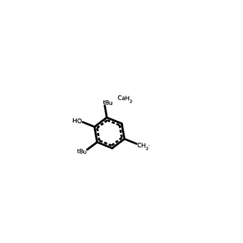 [CH2]c1cc(C(C)(C)C)c(O)c(C(C)(C)C)c1.[CaH2]